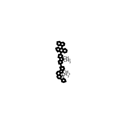 CC1(C)c2cc(-c3ccc4c(c3)-c3ccc5ccc6c7ccccc7sc6c5c3C4(C)C)ccc2-c2ccc(-c3c4ccccc4c(-c4cccc5ccccc45)c4ccccc34)cc21